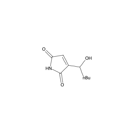 CCCCC(O)C1=CC(=O)NC1=O